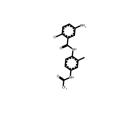 Cc1cc(NC(=O)C(F)(F)F)ccc1NC(=O)c1cc(N)ccc1Cl